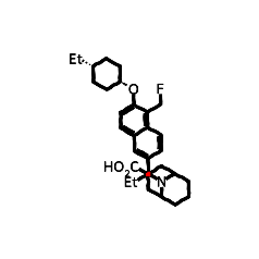 CCC(c1ccc2c(CF)c(O[C@H]3CC[C@@H](CC)CC3)ccc2c1)N1C2CCCC1CC(C(=O)O)C2